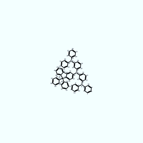 c1ccc(N(c2ccccc2)c2cccc(N(c3cccc(N(c4ccccc4)c4ccccc4)c3)c3ccc4c(c3)-c3ccccc3C4(c3ccccc3)c3ccccc3)c2)cc1